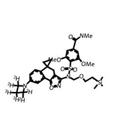 [2H]C1([2H])N(c2ccc3c(c2)-c2onc(N(COCC[Si](C)(C)C)S(=O)(=O)c4c(OC)cc(C(=O)NC)cc4OC)c2CC32CC2)C([2H])([2H])C1([2H])[2H]